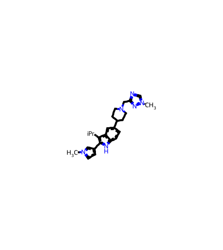 CC(C)c1c(-c2ccn(C)c2)[nH]c2ccc(C3CCN(Cc4ncn(C)n4)CC3)cc12